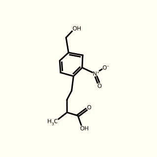 CC(CCc1ccc(CO)cc1[N+](=O)[O-])C(=O)O